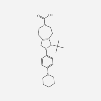 CC(C)(C)N1C2=C(CCN(C(=O)O)CC2)CN1c1ccc(N2CCCCC2)cc1